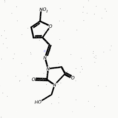 O=C1CN(/N=C/c2ccc([N+](=O)[O-])o2)C(=O)N1CO